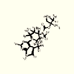 [2H]CC(C)(OC(=O)N(C([2H])([2H])[2H])C1([2H])C([2H])([2H])C([2H])([2H])N(c2nc([2H])nc3c2c(C([2H])([2H])[2H])c([2H])n3[2H])C([2H])([2H])C1([2H])[2H])C([2H])([2H])[2H]